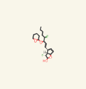 CCCCC(F)C(/C=C/[C@H]1CCC2OC(O)[C@H](F)[C@@H]21)OC1CCCCO1